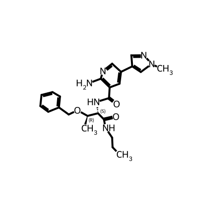 CCCNC(=O)[C@@H](NC(=O)c1cc(-c2cnn(C)c2)cnc1N)[C@@H](C)OCc1ccccc1